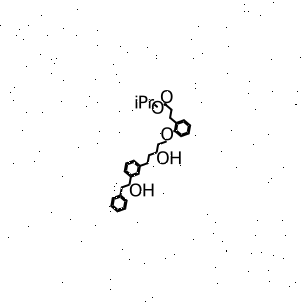 CC(C)OC(=O)CCc1ccccc1OCCC(O)CCc1cccc(C(O)Cc2ccccc2)c1